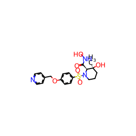 C[C@]1(O)CCCN(S(=O)(=O)c2ccc(OCc3ccncc3)cc2)[C@H]1C(=O)NO